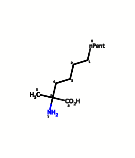 CCCCCCCCCC(C)(N)C(=O)O